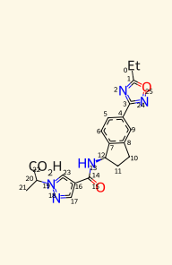 CCc1nc(-c2ccc3c(c2)CC[C@H]3NC(=O)c2cnn(C(C)C(=O)O)c2)no1